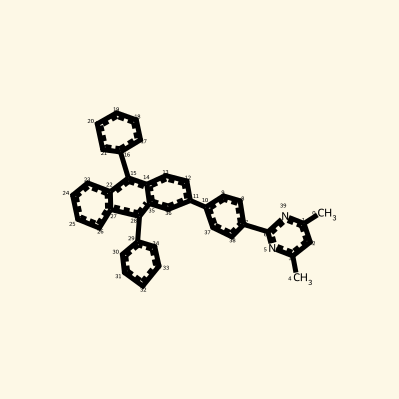 Cc1cc(C)nc(-c2ccc(-c3ccc4c(-c5ccccc5)c5ccccc5c(-c5ccccc5)c4c3)cc2)n1